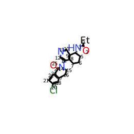 CCC(=O)N[C@@H]1CCCc2c1cncc2N1CCc2cc(Cl)ccc2C1=O